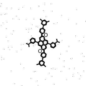 Cc1cc(C)cc(-c2ccc3c(c2)oc2c3cc3c(-c4cccc(C(C)C)c4)cc4c5oc6cc(-c7cc(C)cc(C)c7)ccc6c5cc5c(-c6cccc(C(C)C)c6)cc2c3c54)c1